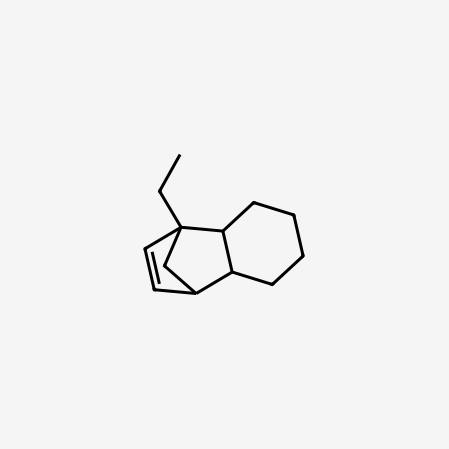 CCC12C=CC(C1)C1CCCCC12